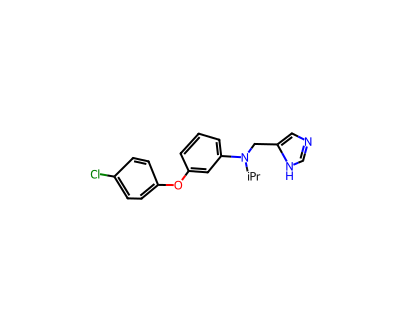 CC(C)N(Cc1cnc[nH]1)c1cccc(Oc2ccc(Cl)cc2)c1